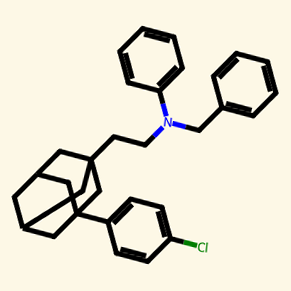 Clc1ccc(C23CC4CC(CC(CCN(Cc5ccccc5)c5ccccc5)(C4)C2)C3)cc1